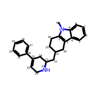 Cn1c2c(c3ccccc31)CC(CC1CC(c3ccccc3)=CCN1)CC2